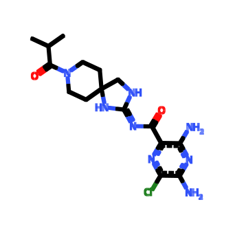 CC(C)C(=O)N1CCC2(CC1)CN/C(=N\C(=O)c1nc(Cl)c(N)nc1N)N2